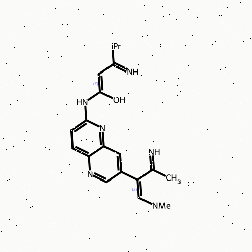 CN/C=C(\C(C)=N)c1cnc2ccc(N/C(O)=C/C(=N)C(C)C)nc2c1